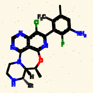 CC[C@@H]1NCCN2c3ncnc4c(Cl)c(-c5c(F)c(N)cc(C)c5C(F)(F)F)nc(c34)O[C@@H](C)[C@H]12